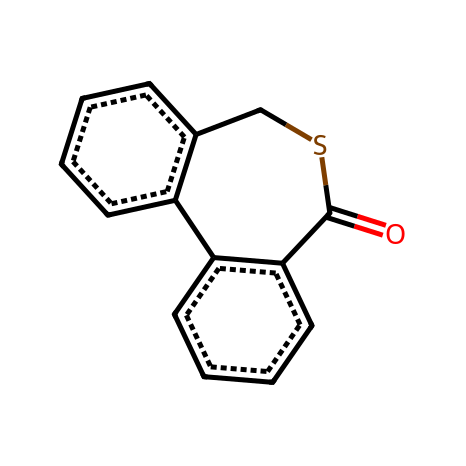 O=C1SCc2ccccc2-c2ccccc21